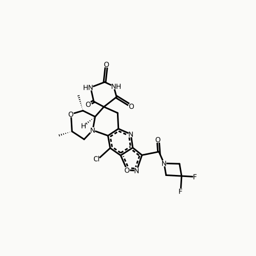 C[C@H]1CN2c3c(nc4c(C(=O)N5CC(F)(F)C5)noc4c3Cl)CC3(C(=O)NC(=O)NC3=O)[C@@H]2[C@@H](C)O1